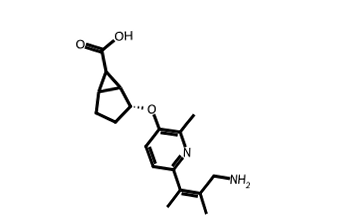 C/C(CN)=C(\C)c1ccc(O[C@@H]2CCC3C(C(=O)O)C32)c(C)n1